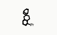 CC(C)c1cccc2c1CCC1(C2)CC2C=CC1C2